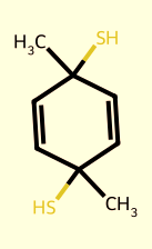 CC1(S)C=CC(C)(S)C=C1